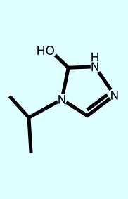 CC(C)N1C=NNC1O